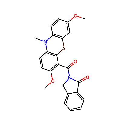 COc1[c]c2c(cc1)N(C)c1ccc(OC)c(C(=O)N3Cc4ccccc4C3=O)c1S2